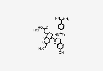 COC(=O)C[C@H]1C(=O)N(CC(=O)O)CCN1C(=O)[C@H](Cc1ccc(O)cc1)NC(=O)c1ccc(C(=N)N)cc1.Cl